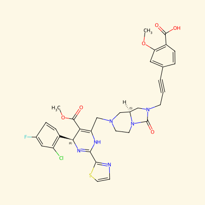 COC(=O)C1=C(CN2CCN3C(=O)N(CC#Cc4ccc(C(=O)O)c(OC)c4)C[C@@H]3C2)NC(c2nccs2)=N[C@H]1c1ccc(F)cc1Cl